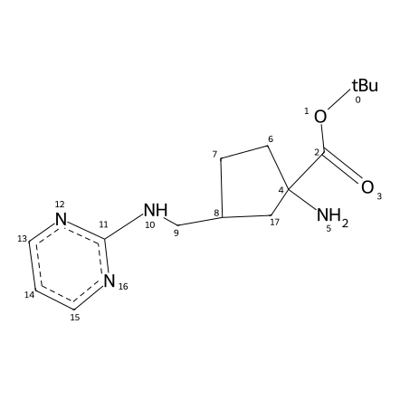 CC(C)(C)OC(=O)C1(N)CCC(CNc2ncccn2)C1